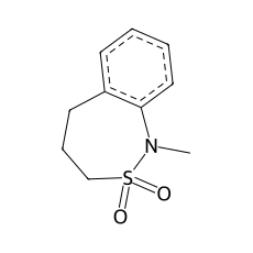 CN1c2ccccc2CCCS1(=O)=O